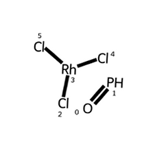 O=P.[Cl][Rh]([Cl])[Cl]